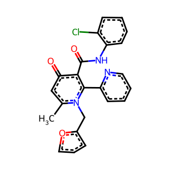 Cc1cc(=O)c(C(=O)Nc2ccccc2Cl)c(-c2ccccn2)n1Cc1ccco1